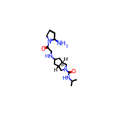 CC(C)NC(=O)N1C[C@H]2CC(NCC(=O)N3CCCC3N)C[C@H]2C1